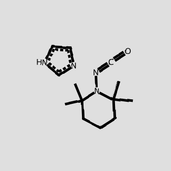 CC1(C)CCCC(C)(C)N1N=C=O.c1c[nH]cn1